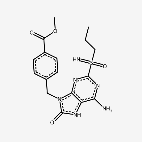 CCCS(=N)(=O)c1nc(N)c2[nH]c(=O)n(Cc3ccc(C(=O)OC)cc3)c2n1